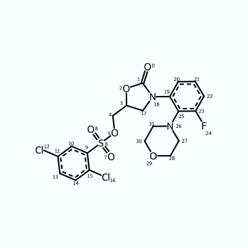 O=C1OC(COS(=O)(=O)c2cc(Cl)ccc2Cl)CN1c1cccc(F)c1N1CCOCC1